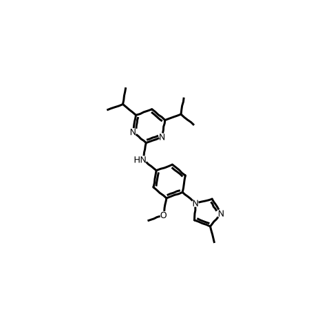 COc1cc(Nc2nc(C(C)C)cc(C(C)C)n2)ccc1-n1cnc(C)c1